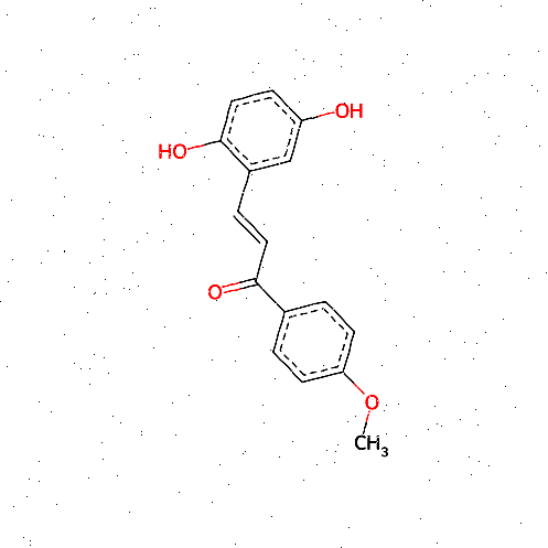 COc1ccc(C(=O)C=Cc2cc(O)ccc2O)cc1